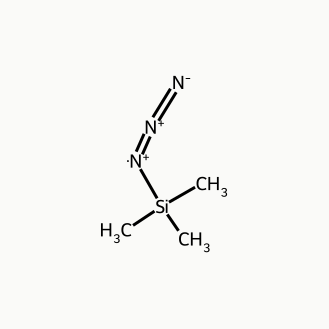 C[Si](C)(C)[N+]=[N+]=[N-]